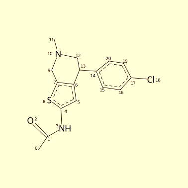 CC(=O)Nc1cc2c(s1)CN(C)CC2c1ccc(Cl)cc1